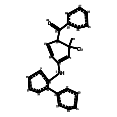 CC1(Cl)C=C(Nc2ccccc2-c2ccccc2)C=CC1C(=O)c1ccccc1